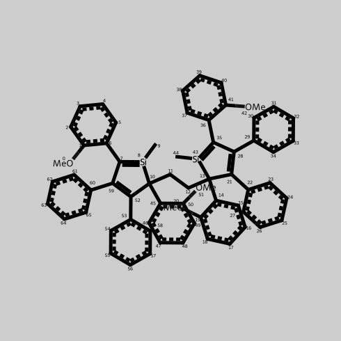 COc1ccccc1C1=[Si](C)C(CCC2(c3ccccc3OC)C(c3ccccc3)=C(c3ccccc3)C(c3ccccc3OC)=[Si]2C)(c2ccccc2OC)C(c2ccccc2)=C1c1ccccc1